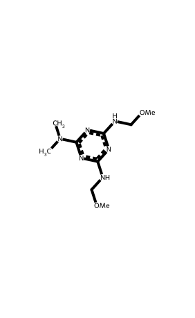 COCNc1nc(NCOC)nc(N(C)C)n1